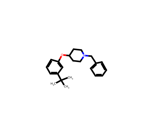 CC(C)(C)c1cccc(OC2CCN(Cc3ccccc3)CC2)c1